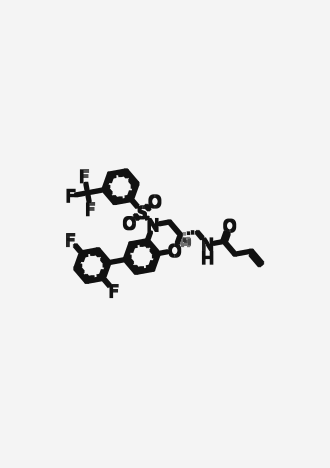 C=CCC(=O)NC[C@H]1CN(S(=O)(=O)c2cccc(C(F)(F)F)c2)c2cc(-c3cc(F)ccc3F)ccc2O1